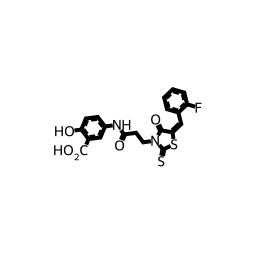 O=C(CCN1C(=O)/C(=C\c2ccccc2F)SC1=S)Nc1ccc(O)c(C(=O)O)c1